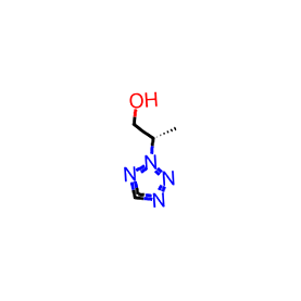 C[C@@H](CO)n1ncnn1